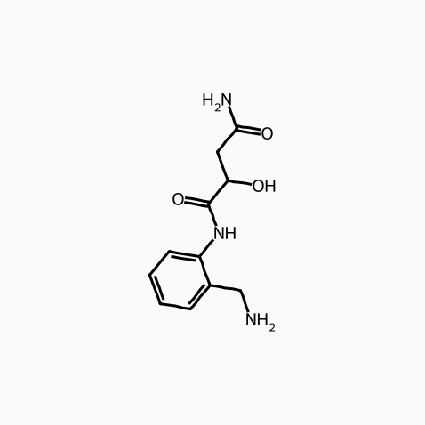 NCc1ccccc1NC(=O)C(O)CC(N)=O